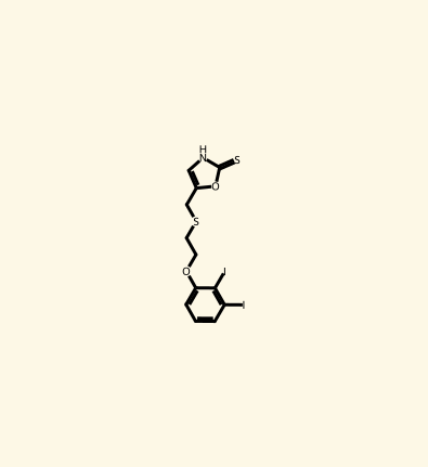 S=c1[nH]cc(CSCCOc2cccc(I)c2I)o1